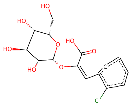 O=C(O)/C(=C\c1ccccc1Cl)O[C@H]1O[C@@H](CO)[C@@H](O)[C@H](O)[C@H]1O